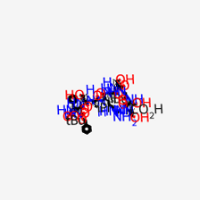 CC[C@H](C)[C@H](NC(=O)[C@@H](CCCNC(=N)N)NC(=O)[C@H](CC(C)C)NC(=O)[C@@H](NC(=O)[C@@H](NC(=O)OCc1ccccc1)[C@H](NC(=O)OC(C)(C)C)c1ccccc1)[C@@H](C)O)C(=O)N[C@H](C(=O)NCC(=O)N[C@@H](CO)C(=O)N[C@@H](CO)C(=O)O)[C@H](C)O